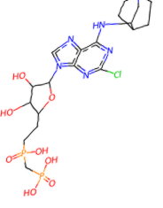 O=P(O)(O)CP(=O)(O)CCC1OC(n2cnc3c(NC4CN5CCC4CC5)nc(Cl)nc32)C(O)C1O